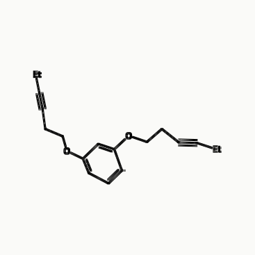 CCC#CCCOc1[c]ccc(OCCC#CCC)c1